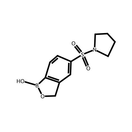 O=S(=O)(c1ccc2c(c1)COB2O)N1CCCC1